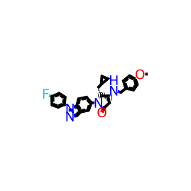 COc1ccc(CN[C@@H]2CC(=O)N(c3ccc4c(cnn4-c4ccc(F)cc4)c3)[C@@H]2CC2CC2)cc1